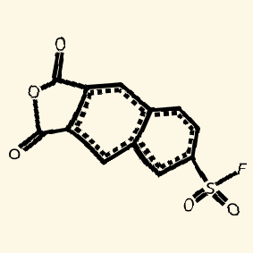 O=C1OC(=O)c2cc3cc(S(=O)(=O)F)ccc3cc21